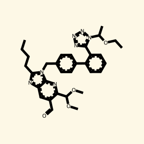 CCCCc1nc2cc(C=O)c(C(OC)OC)nc2n1Cc1ccc(-c2ccccc2-c2nnnn2C(C)OCC)cc1